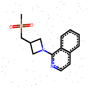 CS(=O)(=O)CC1CN(c2nccc3ccccc23)C1